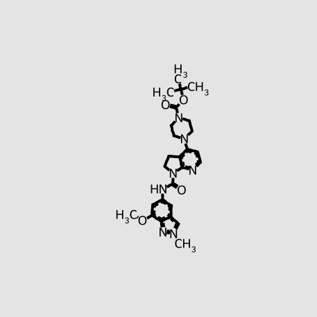 COc1cc(NC(=O)N2CCc3c(N4CCN(C(=O)OC(C)(C)C)CC4)ccnc32)cc2cn(C)nc12